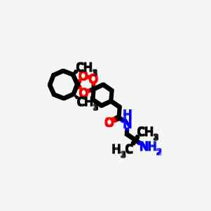 C[C@@H]1CCCCC[C@@H](C)C12OOC1(CCC(CC(=O)NCC(C)(C)N)CC1)O2